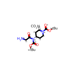 CC(C)(C)OC(=O)N1CC[C@H](N(C(=O)CN)C(=O)OC(C)(C)C)C[C@@H]1C(=O)O